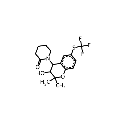 CC1(C)Oc2ccc(SC(F)(F)F)cc2C(N2CCCCC2=O)C1O